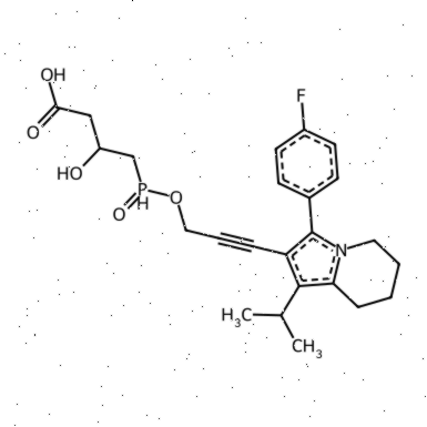 CC(C)c1c(C#CCO[PH](=O)CC(O)CC(=O)O)c(-c2ccc(F)cc2)n2c1CCCC2